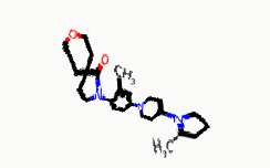 Cc1cc(N2CCC(N3CCC[C@@H]3C)CC2)ccc1N1CCC2(CCOCC2)C1=O